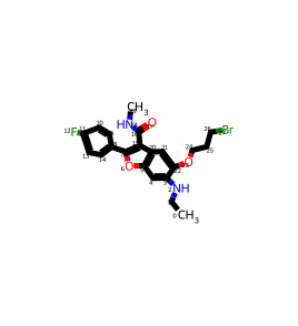 CCNc1cc2oc(-c3ccc(F)cc3)c(C(=O)NC)c2cc1OCCCBr